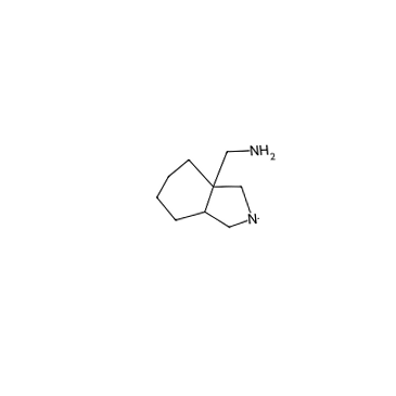 NCC12CCCCC1C[N]C2